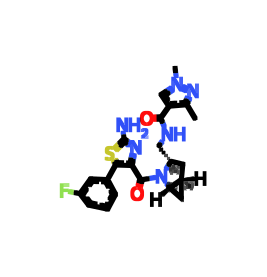 Cc1nn(C)cc1C(=O)NC[C@@H]1C[C@@H]2C[C@@H]2N1C(=O)c1nc(N)sc1-c1cccc(F)c1